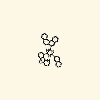 c1ccc2cc(-c3nc(-c4cc5ccccc5c5c4ccc4ccccc45)nc(-c4cccc5oc6cccnc6c45)n3)ccc2c1